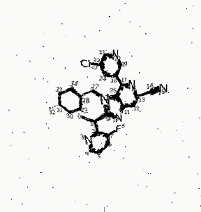 CC(c1ncccc1F)c1nc2cc(C#N)nc(-c3cncc(Cl)c3)c2n1C[C@H]1CC[C@H](C)CC1